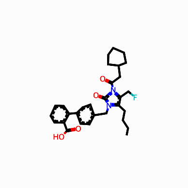 CCCCc1c(CF)n(C(=O)CC2CCCCC2)c(=O)n1Cc1ccc(-c2ccccc2C(=O)O)cc1